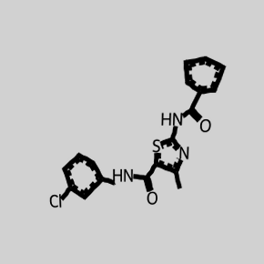 Cc1nc(NC(=O)c2ccccc2)sc1C(=O)NCc1cccc(Cl)c1